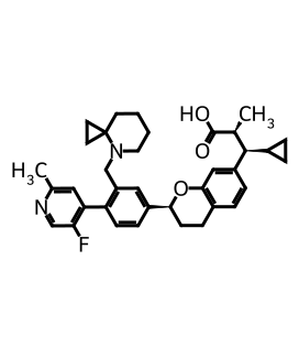 Cc1cc(-c2ccc([C@@H]3CCc4ccc([C@H](C5CC5)[C@H](C)C(=O)O)cc4O3)cc2CN2CCCCC23CC3)c(F)cn1